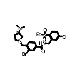 CCS(=O)(=O)c1ccc(Cl)cc1CNC(=O)c1ccc(CN2CC[C@@H](N(C)C)C2)c(Br)c1